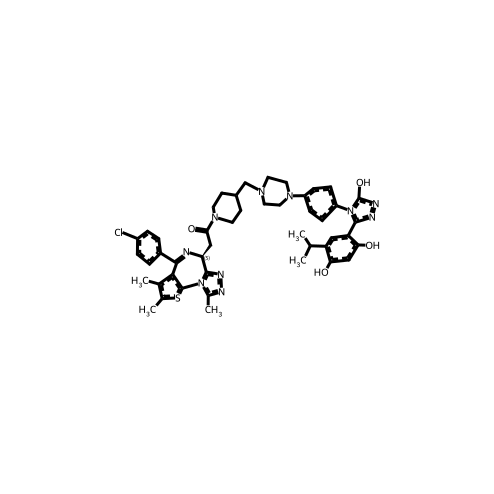 Cc1sc2c(c1C)C(c1ccc(Cl)cc1)=N[C@@H](CC(=O)N1CCC(CN3CCN(c4ccc(-n5c(O)nnc5-c5cc(C(C)C)c(O)cc5O)cc4)CC3)CC1)c1nnc(C)n1-2